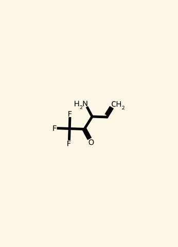 C=CC(N)C(=O)C(F)(F)F